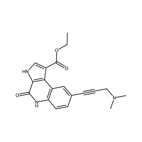 CCOC(=O)c1c[nH]c2c(=O)[nH]c3ccc(C#CCN(C)C)cc3c12